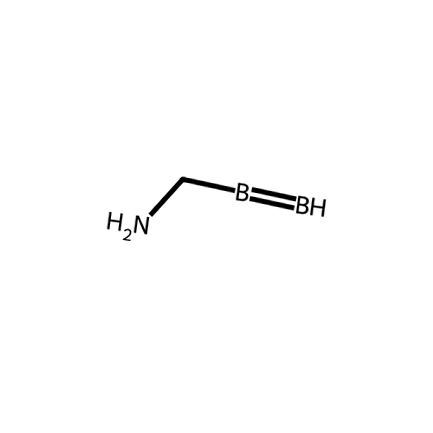 B=BCN